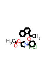 CC(=O)OC1CCN([C@@H]2CCCC[C@H]2OC(C)c2cccc3ccccc23)C1.Cl